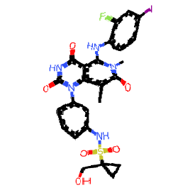 Cc1c(=O)n(C)c(Nc2ccc(I)cc2F)c2c(=O)[nH]c(=O)n(-c3cccc(NS(=O)(=O)C4(CO)CC4)c3)c12